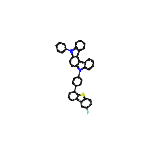 Fc1ccc2sc3c(-c4ccc(-n5c6ccccc6c6c7c8ccccc8n(-c8ccccc8)c7ccc65)cc4)cccc3c2c1